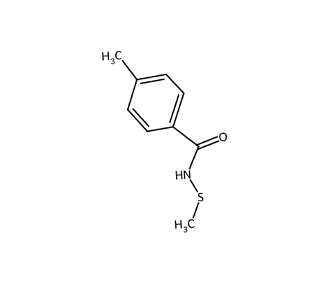 CSNC(=O)c1ccc(C)cc1